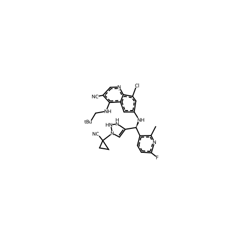 Cc1nc(F)ccc1[C@H](Nc1cc(Cl)c2ncc(C#N)c(NCC(C)(C)C)c2c1)C1=CN(C2(C#N)CC2)NN1